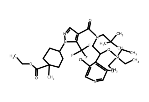 CCOC(=O)C1(C)CCC(n2ncc(C(=O)N(CC(O[Si](CC)(CC)CC)c3c(Cl)cncc3Cl)CC(C)(C)C)c2C(F)(F)F)CC1